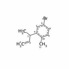 [CH2]C(C=C)c1cc(Br)ccc1C